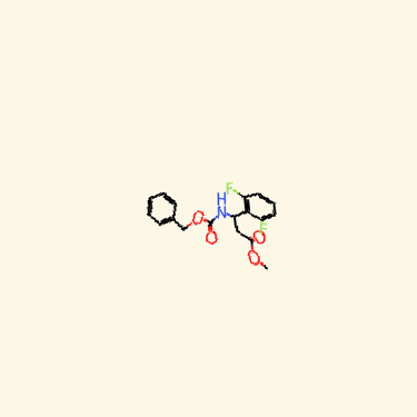 COC(=O)CC(NC(=O)OCc1ccccc1)c1c(F)cccc1F